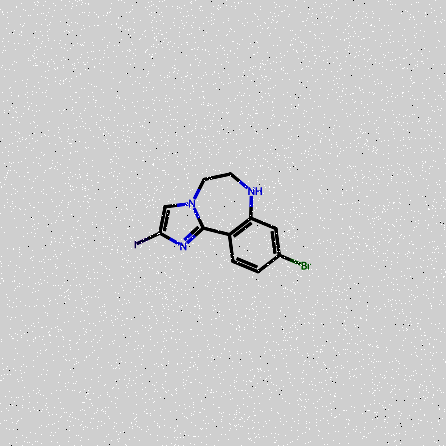 Brc1ccc2c(c1)NCCn1cc(I)nc1-2